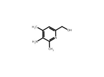 Cc1cc(CO)nc(C)c1N